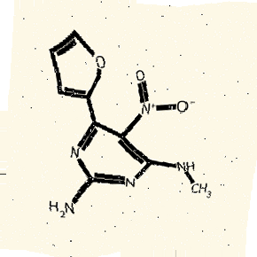 CNc1nc(N)nc(-c2ccco2)c1[N+](=O)[O-]